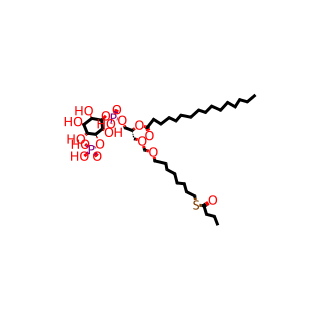 CCCCCCCCCCCCCCCC(=O)O[C@H](COCOCCCCCCCCSC(=O)CCC)COP(=O)(O)OC1C(O)[C@H](OP(=O)(O)O)C(O)[C@H](O)[C@@H]1O